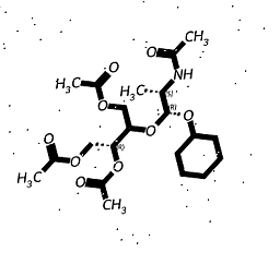 CC(=O)N[C@@H](C)[C@H](OC1CCCCC1)OC(COC(C)=O)[C@@H](COC(C)=O)OC(C)=O